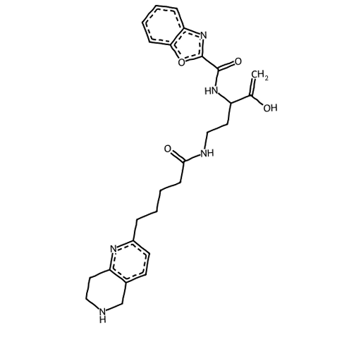 C=C(O)C(CCNC(=O)CCCCc1ccc2c(n1)CCNC2)NC(=O)c1nc2ccccc2o1